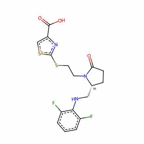 O=C(O)c1csc(SCCN2C(=O)CC[C@@H]2CNc2c(F)cccc2F)n1